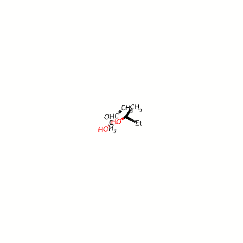 CC=O.CCC(C)O.CO